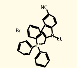 CCn1c(C[P+](c2ccccc2)(c2ccccc2)c2ccccc2)cc2cc(C#N)ccc21.[Br-]